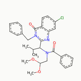 COC(CN(C(=O)c1ccccc1)C(c1nc2cc(Cl)ccc2c(=O)n1Cc1ccccc1)C(C)C)OC